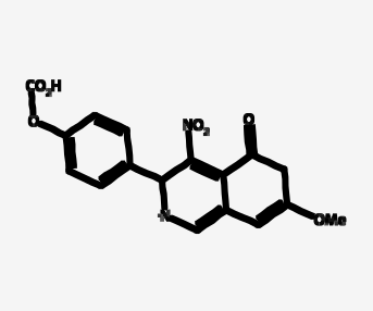 COC1=CC2=C[N]C(c3ccc(OC(=O)O)cc3)C([N+](=O)[O-])=C2C(=O)C1